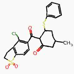 CC1CC(=O)C(C(=O)c2ccc3c(c2Cl)CCS3(=O)=O)C(Sc2ccccc2)C1